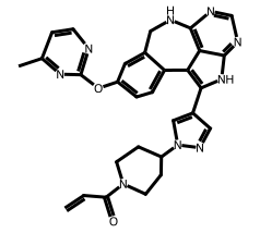 C=CC(=O)N1CCC(n2cc(-c3[nH]c4ncnc5c4c3-c3ccc(Oc4nccc(C)n4)cc3CN5)cn2)CC1